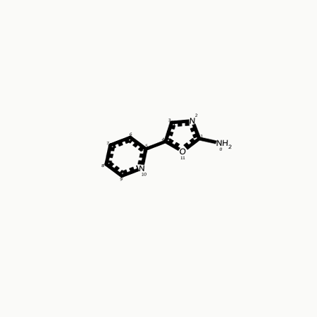 Nc1ncc(-c2ccccn2)o1